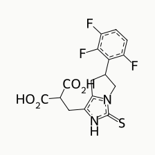 O=C(O)C(Cc1[nH]c(=S)n2c1CC(c1c(F)ccc(F)c1F)C2)C(=O)O